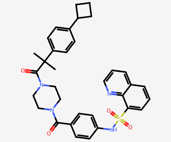 CC(C)(C(=O)N1CCN(C(=O)c2ccc(NS(=O)(=O)c3cccc4cccnc34)cc2)CC1)c1ccc(C2CCC2)cc1